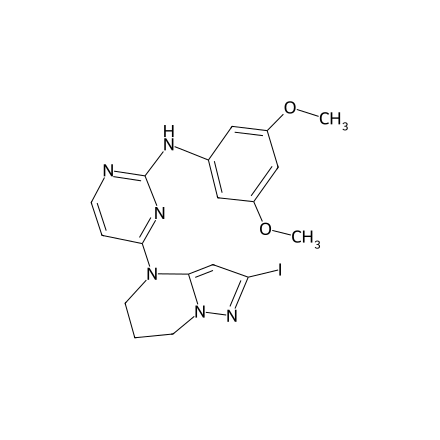 COc1cc(Nc2nccc(N3CCCn4nc(I)cc43)n2)cc(OC)c1